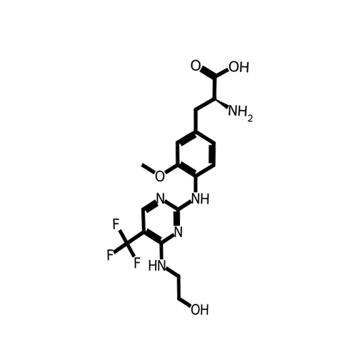 COc1cc(C[C@H](N)C(=O)O)ccc1Nc1ncc(C(F)(F)F)c(NCCO)n1